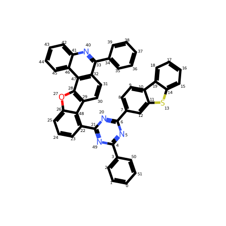 c1ccc(-c2nc(-c3ccc4c(c3)sc3ccccc34)nc(-c3cccc4oc5c(ccc6c(-c7ccccc7)nc7ccccc7c65)c34)n2)cc1